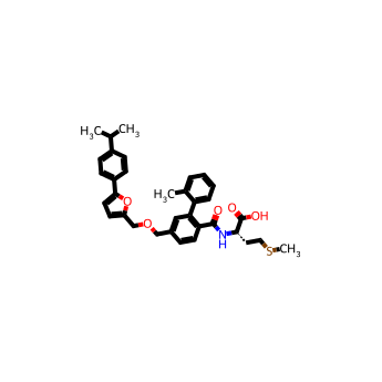 CSCC[C@H](NC(=O)c1ccc(COCc2ccc(-c3ccc(C(C)C)cc3)o2)cc1-c1ccccc1C)C(=O)O